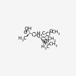 CC#CC(CC(=O)O)c1ccc(OCc2cc(-c3c(C)cc(OC)cc3C)c3nc(C(C)C)nn3c2)cc1